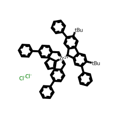 CC(C)(C)c1cc2c(cc1-c1ccccc1)[CH]([Zr+2](=[CH]c1ccc(-c3ccccc3)cc1)(=[CH]c1ccc(-c3ccccc3)cc1)[C]1=CC=CC1)c1cc(-c3ccccc3)c(C(C)(C)C)cc1-2.[Cl-].[Cl-]